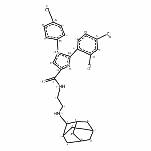 O=C(NCCNC1C2CC3CC(C2)CC1C3)c1cn(-c2ccc(Cl)cc2)c(-c2ccc(Cl)cc2Cl)n1